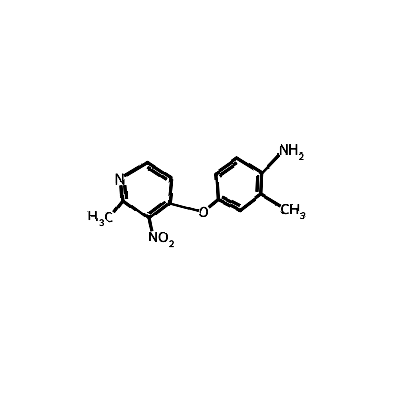 Cc1cc(Oc2ccnc(C)c2[N+](=O)[O-])ccc1N